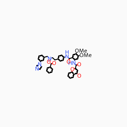 COc1cc(NC(=O)c2cc(=O)c3ccccc3o2)c(C(=O)Nc2ccc(CCN(Cc3cccc(-n4ccnc4)c3)OC(=O)c3ccccc3)cc2)cc1OC